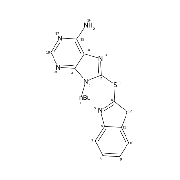 CCCCn1c(SC2=Nc3ccccc3C2)nc2c(N)ncnc21